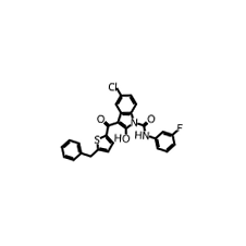 O=C(c1ccc(Cc2ccccc2)s1)c1c(O)n(C(=O)Nc2cccc(F)c2)c2ccc(Cl)cc12